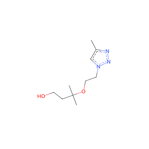 Cc1cn(CCOC(C)(C)CCO)nn1